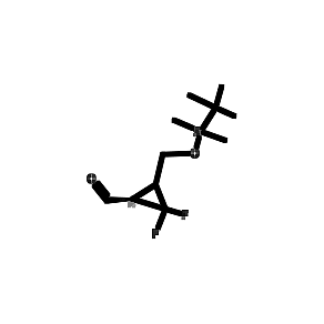 CC(C)(C)[Si](C)(C)OCC1[C@H](C=O)C1(F)F